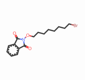 O=C1c2ccccc2C(=O)N1OCCCCCCCCBr